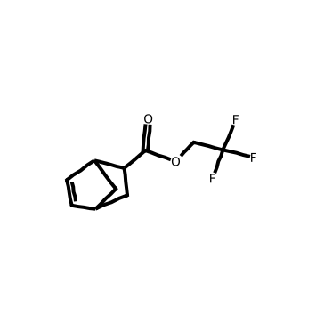 O=C(OCC(F)(F)F)C1CC2C=CC1C2